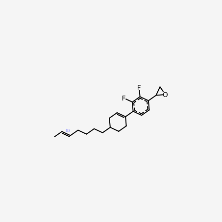 C/C=C/CCCCC1CC=C(c2ccc(C3CO3)c(F)c2F)CC1